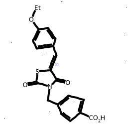 CCOc1ccc(/C=C2\SC(=O)N(Cc3ccc(C(=O)O)cc3)C2=O)cc1